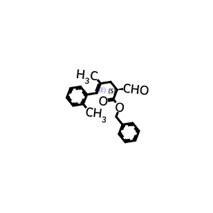 C/C(=C\c1ccccc1C)C[C@@H](C=O)C(=O)OCc1ccccc1